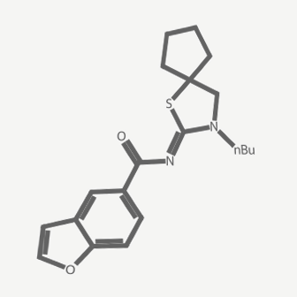 CCCCN1CC2(CCCC2)S/C1=N\C(=O)c1ccc2occc2c1